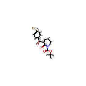 CC(C)(C)OC(=O)N1CCCCC(C(=O)c2ccc(Br)cc2)C1=O